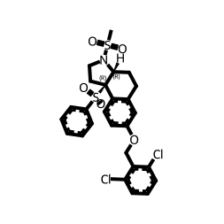 CS(=O)(=O)N1CC[C@@]2(S(=O)(=O)c3ccccc3)c3ccc(OCc4c(Cl)cccc4Cl)cc3CC[C@@H]12